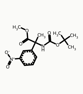 COC(=O)C(C)(NC(=O)OC(C)(C)C)c1cccc([N+](=O)[O-])c1